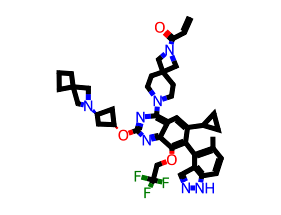 C=CC(=O)N1CC2(CCN(c3nc(O[C@H]4C[C@H](N5CC6(CCC6)C5)C4)nc4c(OCC(F)(F)F)c(-c5c(C)ccc6[nH]ncc56)c(C5CC5)cc34)CC2)C1